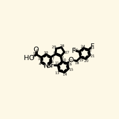 O=C(O)c1cncc(C2=C(c3c(Br)cccc3OCc3ccc(F)cc3F)CCC2)c1